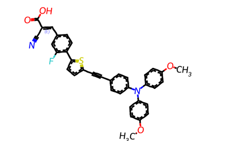 COc1ccc(N(c2ccc(C#Cc3ccc(-c4ccc(/C=C(\C#N)C(=O)O)cc4F)s3)cc2)c2ccc(OC)cc2)cc1